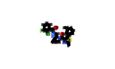 Cc1cccc(-c2sc(C)nc2C(=O)N2CC3CC3C2CNC(=O)c2cccc(F)c2Cl)c1